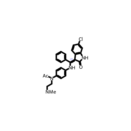 CNCCN(C(C)=O)c1ccc(N/C(=C2\C(=O)Nc3cc(Cl)ccc32)c2ccccc2)cc1